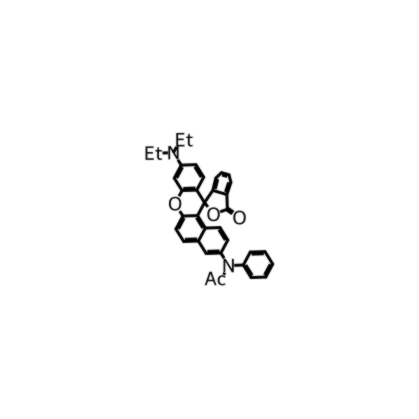 CCN(CC)c1ccc2c(c1)Oc1ccc3cc(N(C(C)=O)c4ccccc4)ccc3c1C21OC(=O)c2ccccc21